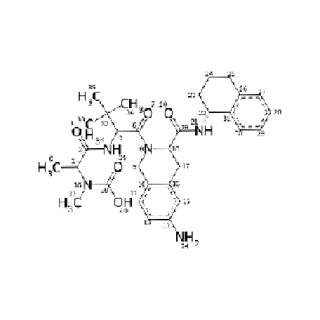 CC(C(=O)NC(C(=O)N1Cc2ccc(N)cc2CC1C(=O)N[C@@H]1CCCc2ccccc21)C(C)(C)C)N(C)C(=O)O